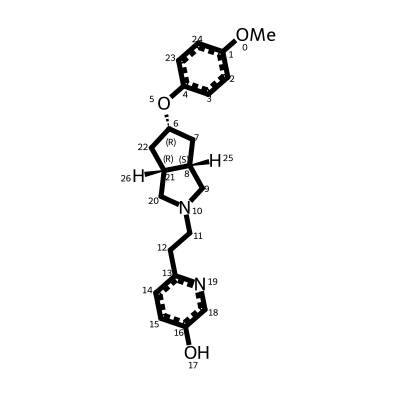 COc1ccc(O[C@@H]2C[C@@H]3CN(CCc4ccc(O)cn4)C[C@@H]3C2)cc1